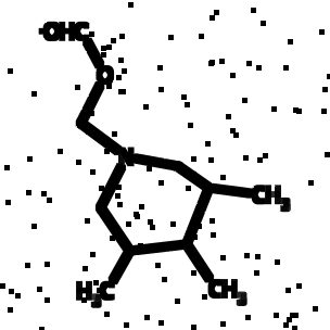 CC1CN(CO[C]=O)CC(C)C1C